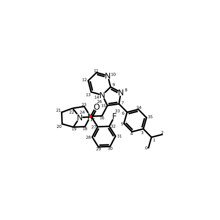 CC(C)c1ccc(-c2nc3ncccn3c2CN2CC3CCC(C2)N3C(=O)c2ccccc2F)cc1